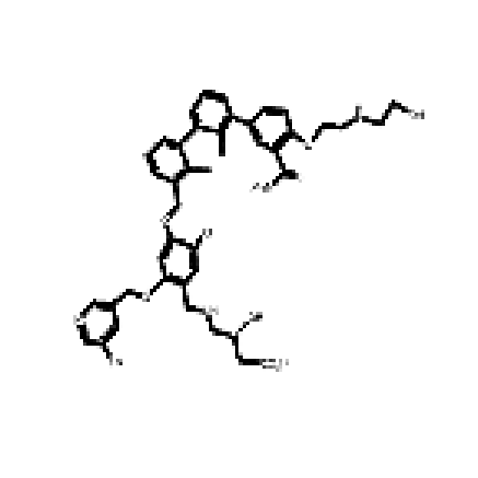 CNC(=O)c1cc(-c2cccc(-c3cccc(COc4cc(OCc5cncc(C#N)c5)c(CNC[C@@H](O)CC(=O)O)cc4Cl)c3C)c2C)ccc1OCCNCCO